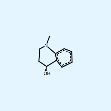 CN1CC[C@H](O)c2ccccc21